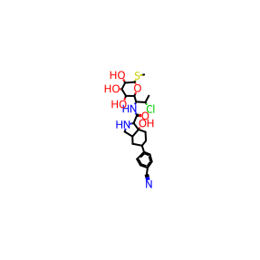 CSC1OC(C(NC(=O)C2NCC3CC(c4ccc(C#N)cc4)CCC32O)C(C)Cl)C(O)C(O)C1O